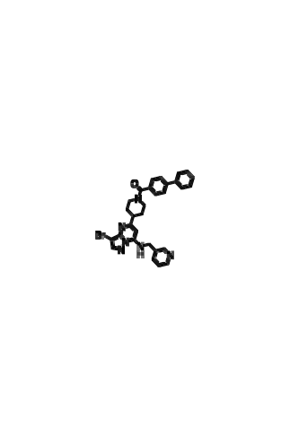 O=C(c1ccc(-c2ccccc2)cc1)N1CCC(c2cc(NCc3cccnc3)n3ncc(Br)c3n2)CC1